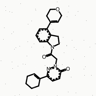 O=C(Cn1nc(C2=CCCCC2)ccc1=O)N1CCc2c(C3=CCOCC3)cccc21